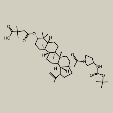 C=C(C)[C@@H]1CC[C@]2(CC(=O)N3CC[C@@H](NC(=O)OC(C)(C)C)C3)CC[C@]3(C)[C@H](CC[C@@H]4[C@@]5(C)CC[C@H](OC(=O)CC(C)(C)C(=O)O)C(C)(C)[C@@H]5CC[C@]43C)[C@@H]12